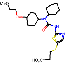 COCCOC1CCC(N(C(=O)Nc2ncc(SCCC(=O)O)s2)C2CCCCC2)CC1